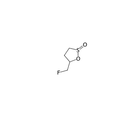 O=S1CCC(CF)O1